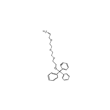 C=CCOCCOCCOCCOC(c1ccccc1)(c1ccccc1)c1ccccc1